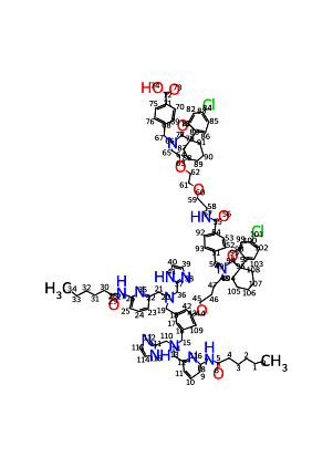 CCCCCC(=O)Nc1cccc(CN(Cc2cc(CN(Cc3cccc(NC(=O)CCCCC)n3)Cc3ncc[nH]3)cc(OCCCCN(Cc3ccc(C(=O)NCCOCCOCCN(Cc4ccc(C(=O)O)cc4)C(=O)C4(c5ccc(Cl)cc5)CCCCC4)cc3)C(=O)C3(c4ccc(Cl)cc4)CCCCC3)c2)Cc2ncc[nH]2)n1